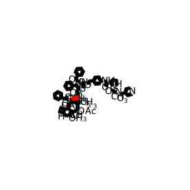 CC(=O)O[C@H]1C(=O)[C@@]2(C)C([C@H](OC(=O)c3ccccc3)[C@]3(O)C[C@H](OC(=O)[C@H](OC(=O)OCc4ccc(NC(=O)[C@@H]5CCCN5C(=O)[C@@H](C)NC(=O)c5ccncc5)cc4)[C@@H](NC(=O)c4ccccc4)c4ccccc4)C(C)=C1C3(C)C)[C@]1(OC(C)=O)CC[C@@H]1C[C@@H]2O